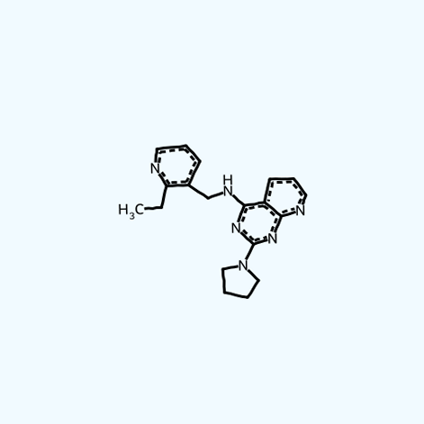 CCc1ncccc1CNc1nc(N2CCCC2)nc2ncccc12